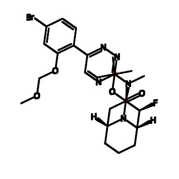 COCOc1cc(Br)ccc1-c1cnc(N(C)[C@@H]2C[C@H]3CCC[C@@H]([C@@H]2F)N3C(=O)OC(C)(C)C)nn1